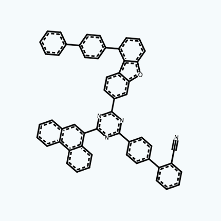 N#Cc1ccccc1-c1ccc(-c2nc(-c3ccc4c(c3)oc3cccc(-c5ccc(-c6ccccc6)cc5)c34)nc(-c3cc4ccccc4c4ccccc34)n2)cc1